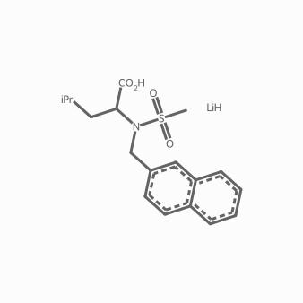 CC(C)CC(C(=O)O)N(Cc1ccc2ccccc2c1)S(C)(=O)=O.[LiH]